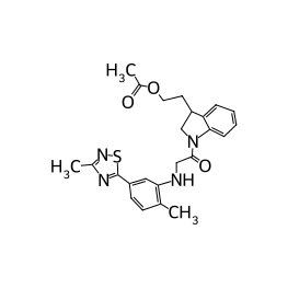 CC(=O)OCCC1CN(C(=O)CNc2cc(-c3nc(C)ns3)ccc2C)c2ccccc21